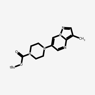 Cc1cnn2cc(N3CCN(C(=O)OC(C)(C)C)CC3)cnc12